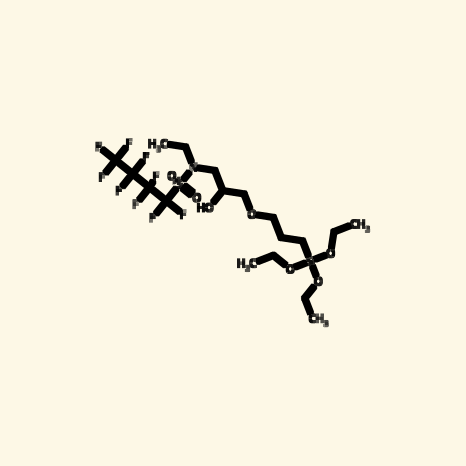 CCO[Si](CCCOCC(O)CN(CC)S(=O)(=O)C(F)(F)C(F)(F)C(F)(F)C(F)(F)F)(OCC)OCC